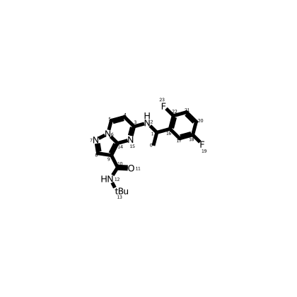 CC(Nc1ccn2ncc(C(=O)NC(C)(C)C)c2n1)c1cc(F)ccc1F